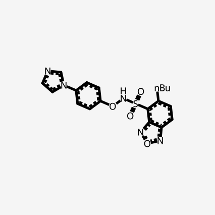 CCCCc1ccc2nonc2c1S(=O)(=O)NOc1ccc(-n2ccnc2)cc1